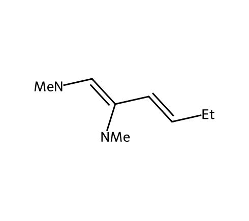 CC/C=C/C(=C/NC)NC